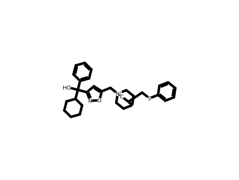 OC(c1ccccc1)(c1cc(C[N+]23CCC(CC2)C(CSc2ccccc2)C3)on1)C1CCCCC1